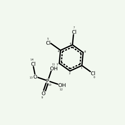 Clc1ccc(Cl)c(Cl)c1.O=P(O)(O)OCl